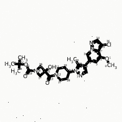 COc1cc(-c2cnn(C3CCN(C(=O)C4(O)CN(C(=O)OC(C)(C)C)C4)CC3)c2C)cn2ncc(Cl)c12